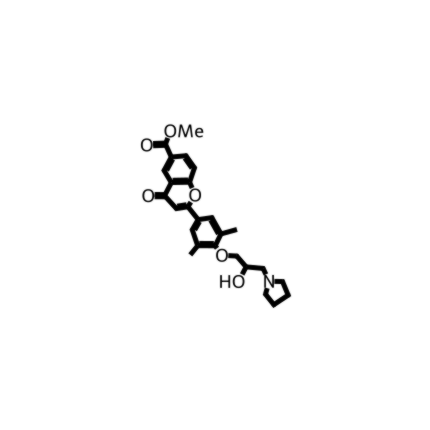 COC(=O)c1ccc2oc(-c3cc(C)c(OCC(O)CN4CCCC4)c(C)c3)cc(=O)c2c1